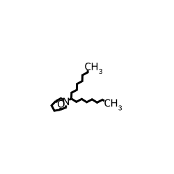 CCCCCCCC(CCCCCCC)N1CC2CCC(C1)O2